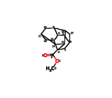 COC(=O)C12CC3CC4C5CC(CC41)CC2C5C3